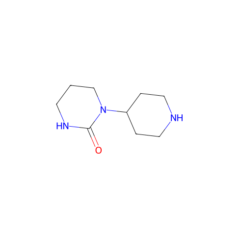 O=C1NCCCN1C1CCNCC1